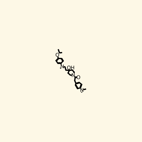 CC(C)Oc1ccc(N(C)CCC2(O)CCN(C(=O)Cc3ccc(N(C)C)cc3)CC2)cc1